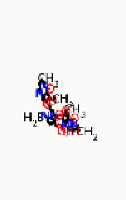 BNc1ccc(COC(=O)N2c3cc(OCCCCCOc4cc5c(cc4OC)C(=O)N4CC(=C)CC4C=N5)c(OC)cc3C(=O)N3CC(=C)C[C@H]3[C@@H]2O)cc1